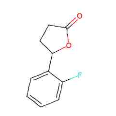 O=C1CCC(c2ccccc2F)O1